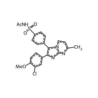 COc1ccc(-c2nc3nc(C)ccn3c2-c2ccc(S(=O)(=O)NC(C)=O)cc2)cc1Cl